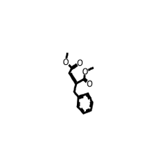 COC(=O)/C=C(/Cc1ccccc1)C(=O)OC